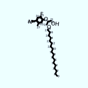 CCCCCCCCCCCCCCCCCCOCC(CO)Oc1cc(C)c(C#N)cc1F